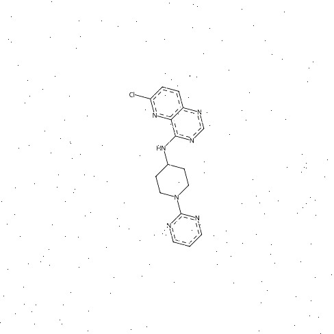 Clc1ccc2ncnc(NC3CCN(c4ncccn4)CC3)c2n1